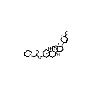 C[C@]12CC[C@H](OC(=O)CN3CCOCC3)C[C@H]1CC[C@@H]1[C@@H]2CC[C@]2(C)[C@@H](C3C=CC(=O)OC3)CC[C@]12O